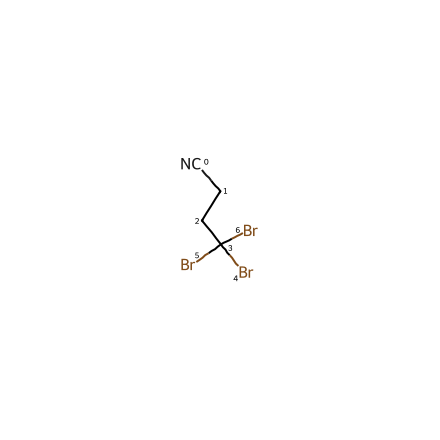 N#CCCC(Br)(Br)Br